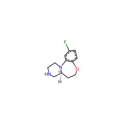 Fc1ccc2c(c1)N1CCNC[C@@H]1CCO2